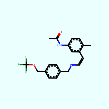 CC(=O)Nc1ccc(C)c(/C=C\NCc2ccc(COC(F)(F)F)cc2)c1